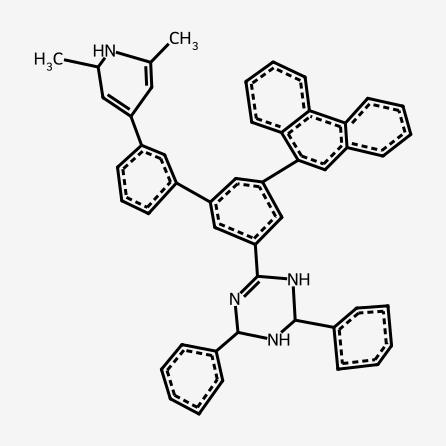 CC1=CC(c2cccc(-c3cc(C4=NC(c5ccccc5)NC(c5ccccc5)N4)cc(-c4cc5ccccc5c5ccccc45)c3)c2)=CC(C)N1